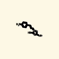 CCCC1=N[N+](=CC=Cc2ccc(N)cc2)C(S)=N1